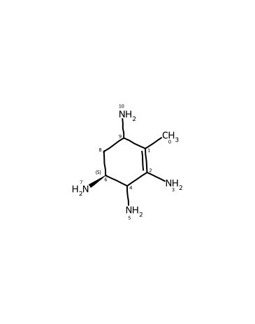 CC1=C(N)C(N)[C@@H](N)CC1N